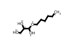 CCCCCCOC(O)C(O)CO